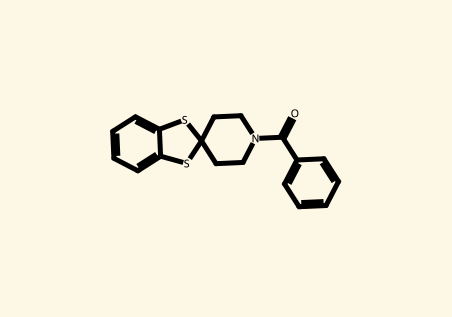 O=C(c1ccccc1)N1CCC2(CC1)Sc1ccccc1S2